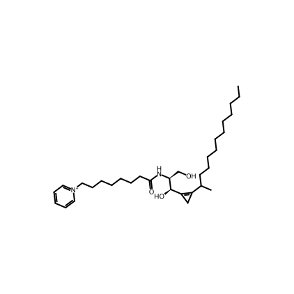 CCCCCCCCCCCC(C)C1=C([C@@H](O)[C@H](CO)NC(=O)CCCCCCC[n+]2ccccc2)C1